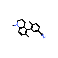 Cc1ccc(C#N)cc1-c1c(C)ccc2c1CCCN2C